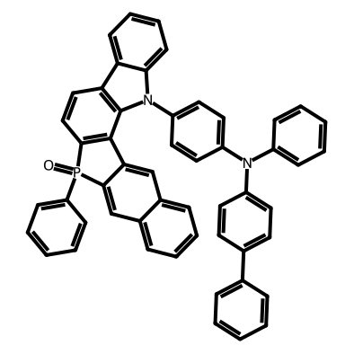 O=P1(c2ccccc2)c2cc3ccccc3cc2-c2c1ccc1c3ccccc3n(-c3ccc(N(c4ccccc4)c4ccc(-c5ccccc5)cc4)cc3)c21